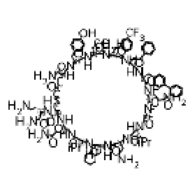 CC(C)C[C@H]1NC(=O)[C@H](C)N(C)C(=O)[C@H](CCC(N)=O)NC(=O)[C@H](Cc2ccc(-c3ccccc3)cc2)NC(=O)[C@H](CCc2ccccc2)NC(=O)[C@H](Cc2cccc(C(F)(F)F)c2)NC(=O)[C@H](CC(=O)O)NC(=O)[C@H](Cc2ccc(O)cc2)NC(=O)[C@H]([C@@H](C)N)CC(=O)CSC[C@@H](C(=O)N[C@@H](CCN)C(N)=O)NC(=O)[C@H](CCC(N)=O)NC(=O)[C@H](C(C)C)NC(=O)[C@H](CC2CCCCC2)NC(=O)[C@H](CCN)NC1=O